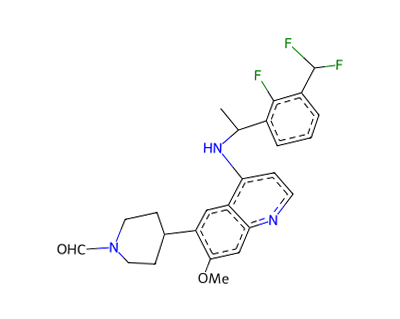 COc1cc2nccc(NC(C)c3cccc(C(F)F)c3F)c2cc1C1CCN(C=O)CC1